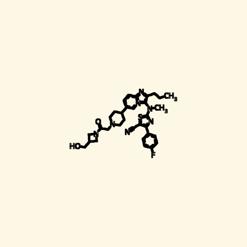 CCCc1nc2ccc(C3CCN(CC(=O)N4CC(CO)C4)CC3)cn2c1N(C)c1nc(-c2ccc(F)cc2)c(C#N)s1